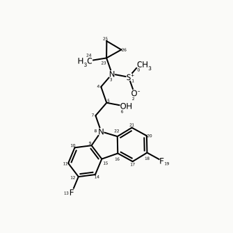 C[S+]([O-])N(CC(O)Cn1c2ccc(F)cc2c2cc(F)ccc21)C1(C)CC1